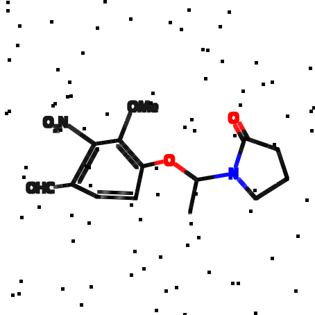 COc1c(OC(C)N2CCCC2=O)ccc(C=O)c1[N+](=O)[O-]